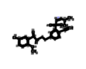 C#Cc1ccc(CCNC(=O)c2cc(Cl)ccc2OC)cc1S(=O)(=O)/N=C\N(C)C